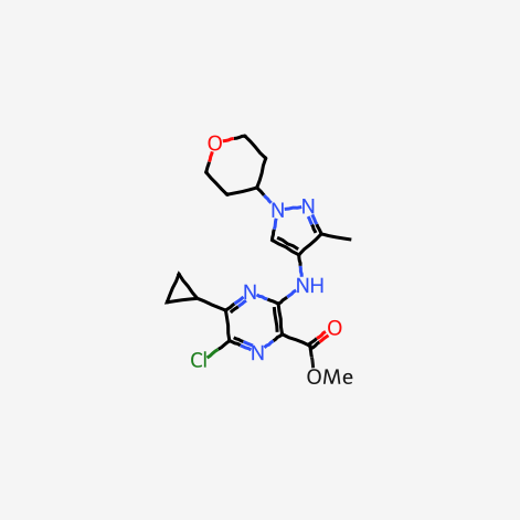 COC(=O)c1nc(Cl)c(C2CC2)nc1Nc1cn(C2CCOCC2)nc1C